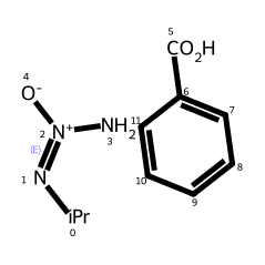 CC(C)/N=[N+](\N)[O-].O=C(O)c1ccccc1